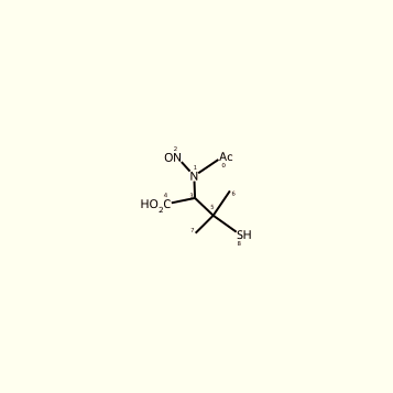 CC(=O)N(N=O)C(C(=O)O)C(C)(C)S